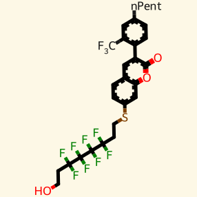 CCCCCc1ccc(-c2cc3ccc(SCCC(F)(F)C(F)(F)C(F)(F)C(F)(F)CCO)cc3oc2=O)c(C(F)(F)F)c1